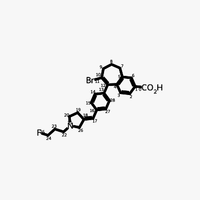 O=C(O)c1ccc2c(c1)CCCC(Br)=C2c1ccc(/C=C2\CCN(CCCF)C2)cc1